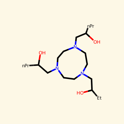 CCCC(O)CN1CCN(CC(O)CC)CCN(CC(O)CCC)CC1